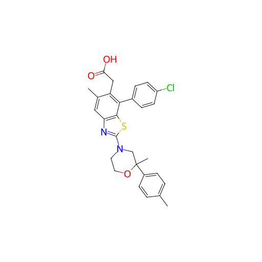 Cc1ccc(C2(C)CN(c3nc4cc(C)c(CC(=O)O)c(-c5ccc(Cl)cc5)c4s3)CCO2)cc1